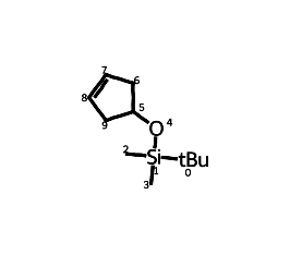 CC(C)(C)[Si](C)(C)OC1CC=CC1